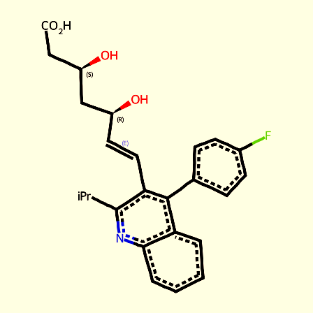 CC(C)c1nc2ccccc2c(-c2ccc(F)cc2)c1/C=C/[C@H](O)C[C@H](O)CC(=O)O